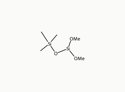 CO[Si](OC)O[Si](C)(C)C